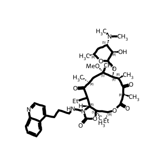 CCC1C(=O)[C@H](C)C[C@](C)(OC)[C@H](OC2O[C@H](C)C[C@H](N(C)C)[C@H]2O)[C@@H](C)C(=O)[C@@H](C)C(=O)O[C@H](CC)[C@@]2(C)OC(=O)N(NCCCc3ccnc4ccccc34)[C@H]12